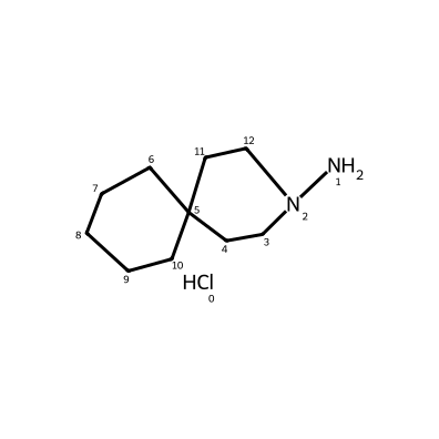 Cl.NN1CCC2(CCCCC2)CC1